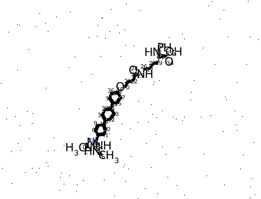 CN/N=C(\NNC)c1ccc(-c2ccc(-c3ccc(OCCCC(=O)NCCCC[C@H](NP)C(=O)O)cc3)cc2)cc1